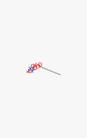 C=C(ON1C(C)(CC)CC2(OCC(CC)(COC(=O)CCCCCCCCCCCCCCCCC)CO2)C(C)C1(C)CC)C(C)(C)C